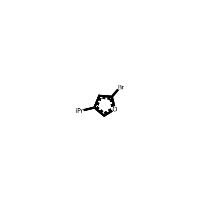 CC(C)c1coc(Br)c1